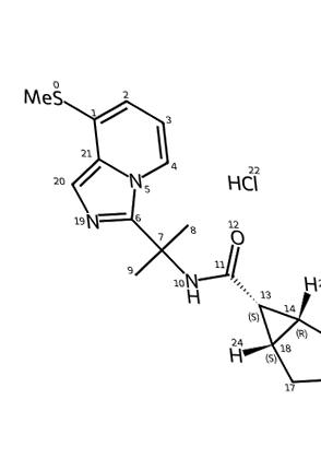 CSc1cccn2c(C(C)(C)NC(=O)[C@@H]3[C@@H]4CNC[C@@H]43)ncc12.Cl